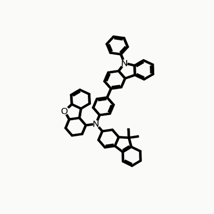 CC1(C)C2=C(C=CCC2)C2=CCC(N(C3C=CC(C4=CC5c6ccccc6N(c6ccccc6)C5C=C4)=CC3)C3CCCC4OC5C=CCCC5C43)CC21